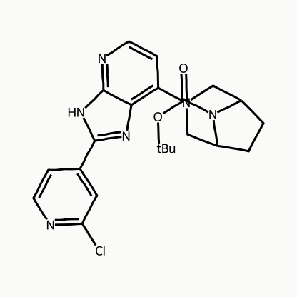 CC(C)(C)OC(=O)N1C2CCC1CN(c1ccnc3[nH]c(-c4ccnc(Cl)c4)nc13)C2